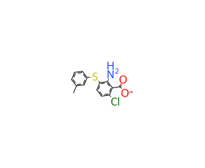 COC(=O)c1c(Cl)ccc(Sc2cccc(C)c2)c1N